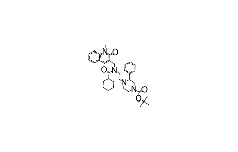 Cn1c(=O)c(CN(CCN2CCN(C(=O)OC(C)(C)C)CC2c2ccccc2)C(=O)C2CCCCC2)cc2ccccc21